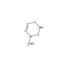 O=[C]N1C=CCNC1